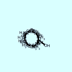 CC(C)C[C@@H]1C(=O)N(C)C(=O)N(C)C(=O)N(C)C(=O)NC(=O)N(C)[C@H](CSCCCCO)C(=O)N(C)C(C(C)C)C(=O)N[C@H](C(C)C)C(=O)N(C)[C@H](CC(C)C)C(=O)N[C@H](C)C(=O)N[C@@H](C)C(=O)N1C